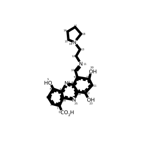 O=C(O)c1ccc(O)c2nc3c(/C=N/CCN4CCCC4)c(O)cc(O)c3nc12